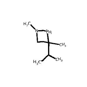 CC(C)C1(C)CN(C)P1